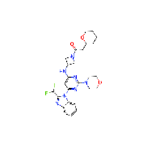 O=C(CC1CCCCO1)N1CC(Nc2cc(-n3c(C(F)F)nc4ccccc43)nc(N3CCOCC3)n2)C1